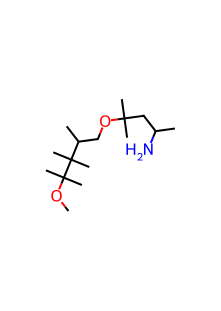 COC(C)(C)C(C)(C)C(C)COC(C)(C)CC(C)N